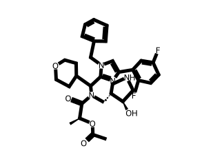 CC(=O)O[C@@H](C)C(=O)N(C[C@@H]1CNC[C@H]1O)C(c1nc(-c2cc(F)ccc2F)cn1Cc1ccccc1)C1CCOCC1